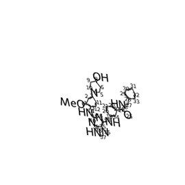 COc1cc(N2CCC(O)CC2)ccc1Nc1nc(Nc2cccc(C(=O)NCc3ccccc3)c2)c2nc[nH]c2n1